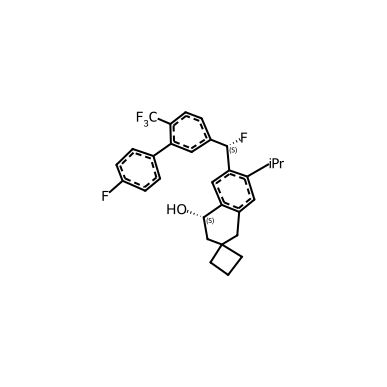 CC(C)c1cc2c(cc1[C@@H](F)c1ccc(C(F)(F)F)c(-c3ccc(F)cc3)c1)[C@@H](O)CC1(CCC1)C2